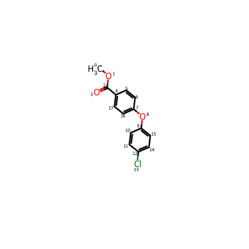 COC(=O)c1ccc(Oc2ccc(Cl)cc2)cc1